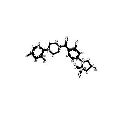 Cc1cnc(N2CCN(C(=O)c3ccc(N4C[C@@H](C)CS4(=O)=O)cc3F)CC2)c(C)c1